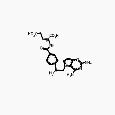 C=C(Cn1ccc2nc(N)nc(N)c21)c1ccc(C(=O)N[C@H](CCC(=O)O)C(=O)O)cc1